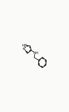 c1ccc(CNc2cn[nH]c2)cc1